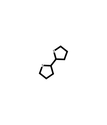 C1CS[C](C2CCCS2)C1